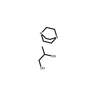 C1CN2CCN1CC2.CC(O)CO